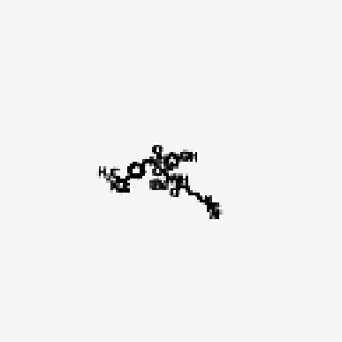 Cc1ncsc1-c1ccc(CNC(=O)[C@@H]2C[C@@H](O)CN2C(=O)[C@@H](NC(=O)CCCCN=[N+]=[N-])C(C)(C)C)cc1